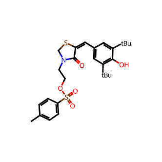 Cc1ccc(S(=O)(=O)OCCN2CSC(=Cc3cc(C(C)(C)C)c(O)c(C(C)(C)C)c3)C2=O)cc1